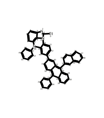 CCc1nc2cccc3c2n1-c1ccc(-c2ccc4c(-c5ccccc5)c5ccccc5c(-c5ccc6ccccc6c5)c4c2)cc1N3c1ccccc1